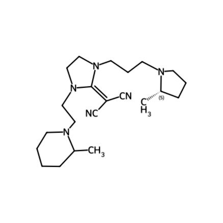 CC1CCCCN1CCN1CCN(CCCN2CCC[C@@H]2C)C1=C(C#N)C#N